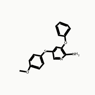 COc1ccc(Sc2cnc(N)c(Oc3ccccc3)c2)cc1